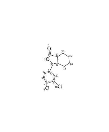 O=C1OC(c2ccc(Cl)c(Cl)c2)C2CCCCC12